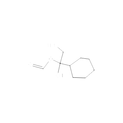 CCC(C)(O[C]=O)C1CCCCC1